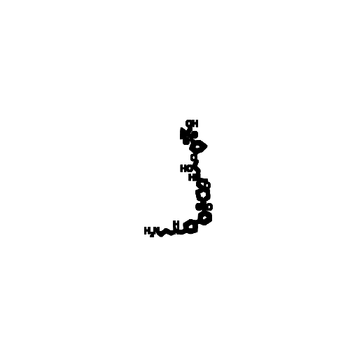 NCCCNCc1ccc(-c2cccc(S(=O)(=O)N3CCC4(CC3)CC(NCC(O)COc3cccc(S(=O)(=O)C5(CO)CC5)c3)CO4)c2)cc1